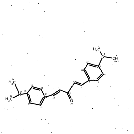 CN(C)c1ccc(C=CC(=O)C=Cc2ccc(N(C)C)cc2)cc1